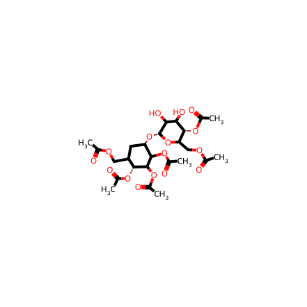 CC(=O)OCC1C[C@H](O[C@H]2OC(COC(C)=O)[C@@H](OC(C)=O)C(O)C2O)C(OC(C)=O)C(OC(C)=O)[C@@H]1OC(C)=O